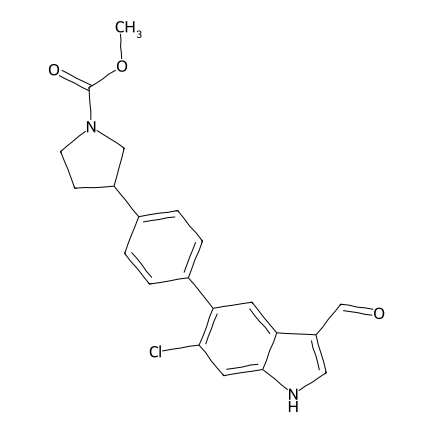 COC(=O)N1CCC(c2ccc(-c3cc4c(C=O)c[nH]c4cc3Cl)cc2)C1